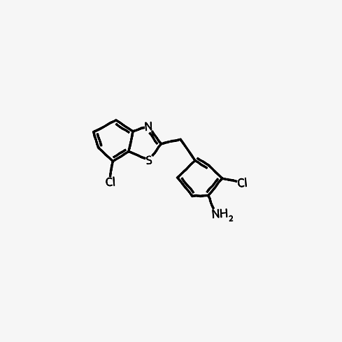 Nc1ccc(Cc2nc3cccc(Cl)c3s2)cc1Cl